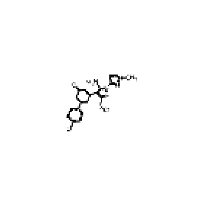 CCSc1nn(-c2ccn(C)n2)c(N)c1C1=CC(=O)CC(c2ccc(Cl)cc2)C1